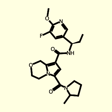 CC[C@@H](NC(=O)c1cc(C(=O)N2CCCC2C)n2c1COCC2)c1cnc(OC)c(F)c1